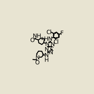 CC(=O)N1CCC[C@@H](Nc2ncc3nc(Nc4c(Cl)cc(F)cc4Cl)n(C4CCC(C(N)=O)CC4)c3n2)C1